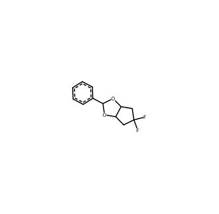 FC1(F)CC2OC(c3ccccc3)OC2C1